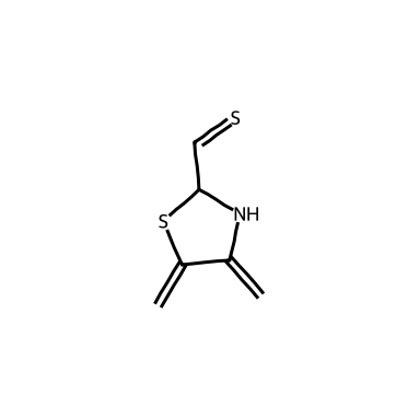 C=C1NC(C=S)SC1=C